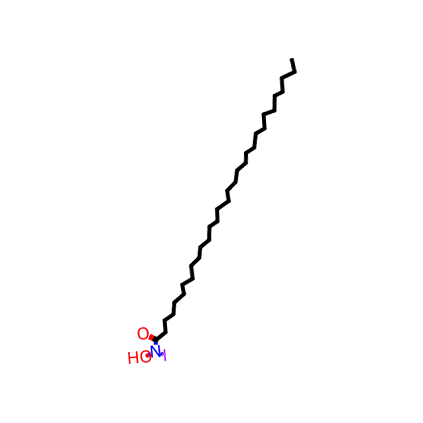 CCCCCCCCCCCCCCCCCCCCCCCCCCCCCCC(=O)N(O)I